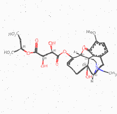 COc1ccc2c3c1O[C@H]1C(OC(=O)[C@H](O)[C@@H](O)C(=O)O[C@H](CC(=O)O)C(=O)O)=CC[C@@]4(O)[C@@H](C2)N(C)CC[C@]314